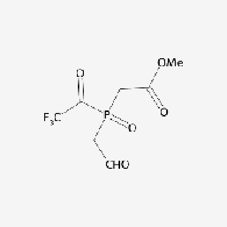 COC(=O)CP(=O)(CC=O)C(=O)C(F)(F)F